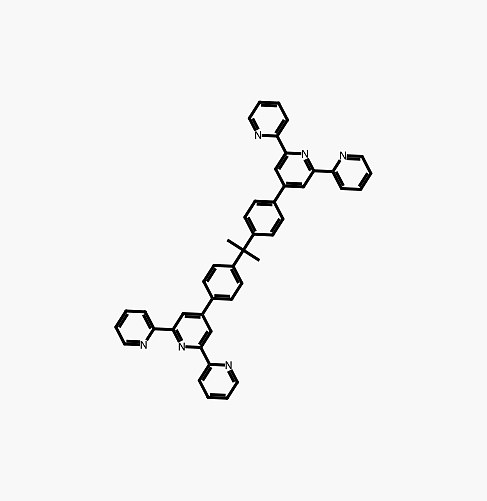 CC(C)(c1ccc(-c2cc(-c3ccccn3)nc(-c3ccccn3)c2)cc1)c1ccc(-c2cc(-c3ccccn3)nc(-c3ccccn3)c2)cc1